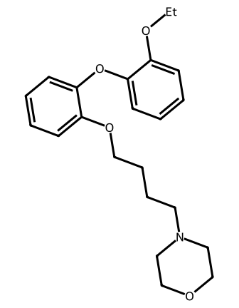 CCOc1ccccc1Oc1ccccc1OCCCCN1CCOCC1